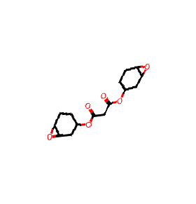 O=C(CC(=O)OC1CCC2OC2C1)OC1CCC2OC2C1